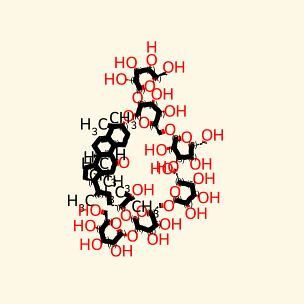 C[C@H](CC[C@@H](O[C@@H]1O[C@H](CO[C@@H]2O[C@H](CO)[C@@H](O)[C@H](O)[C@H]2O)[C@@H](O)[C@H](O)[C@H]1O[C@@H]1O[C@H](CO)[C@@H](O)[C@H](O)[C@H]1O)C(C)(C)O)[C@H]1CC[C@@]2(C)[C@@H]3CC=C4[C@@H](CC[C@H](O[C@@H]5O[C@H](CO[C@@H]6O[C@H](CO)[C@@H](O)[C@H](O)[C@H]6O)[C@@H](O)[C@H](O)[C@H]5O[C@@H]5O[C@H](CO)[C@@H](O)[C@H](O)[C@H]5O)C4(C)C)[C@]3(C)C(=O)C[C@]12C